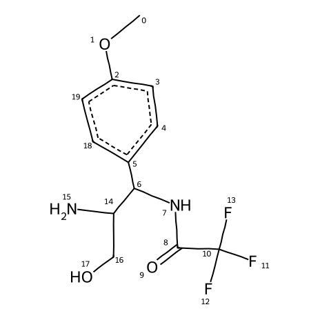 COc1ccc(C(NC(=O)C(F)(F)F)C(N)CO)cc1